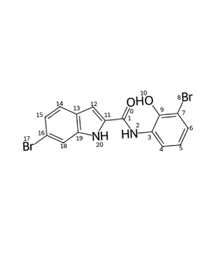 O=C(Nc1cccc(Br)c1O)c1cc2ccc(Br)cc2[nH]1